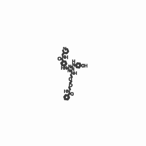 O=C(NCCOCCOCCNc1nc(Nc2ccc(O)cc2)nc(Nc2ccc(C(=O)NCC3=CCCN=C3)cc2)n1)c1ccccc1